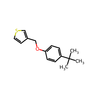 CC(C)(C)c1ccc(OCc2ccsc2)cc1